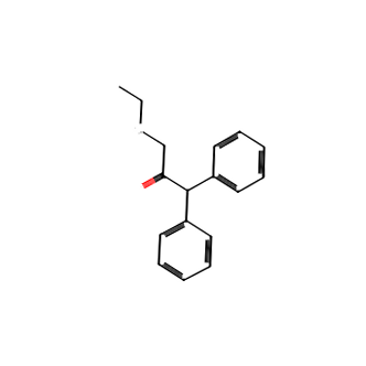 C[CH2][AlH][CH2]C(=O)C(c1ccccc1)c1ccccc1